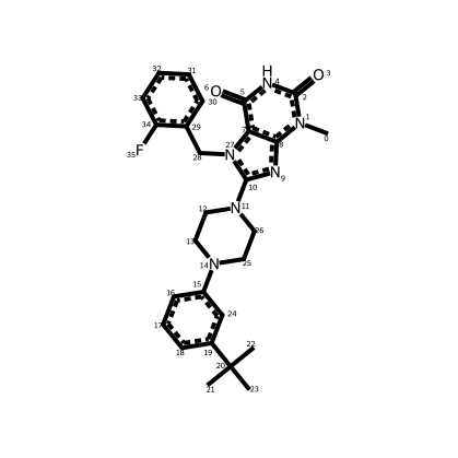 Cn1c(=O)[nH]c(=O)c2c1nc(N1CCN(c3cccc(C(C)(C)C)c3)CC1)n2Cc1ccccc1F